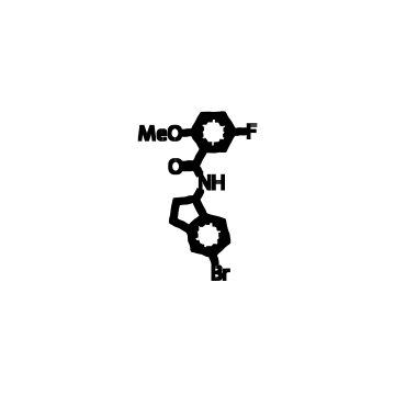 COc1ccc(F)cc1C(=O)NC1CCc2cc(Br)ccc21